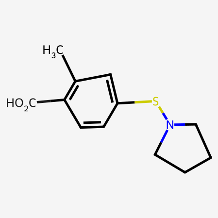 Cc1cc(SN2CCCC2)ccc1C(=O)O